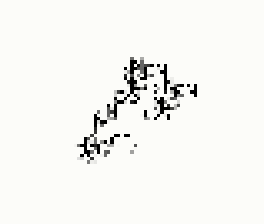 CC(CN(C)C)CN1c2ccccc2Sc2ccc(C#N)cc21.CC(CN(C)C)CN1c2ccccc2Sc2ccc(C#N)cc21.CN1CCN(CCCN2c3ccccc3Sc3ccc(C(F)(F)F)cc32)CC1